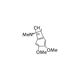 CN[C@@]1(C)Cc2cc(OC)c(OC)cc21